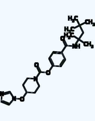 CC(C)(C)CC(C)(C)NC(=O)c1ccc(OC(=O)N2CCC(On3ccnc3)CC2)cc1